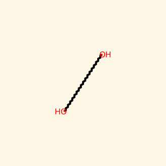 OCCCCCCCCCCCCCCCCCCCCCCCCCCCCCCCCCCO